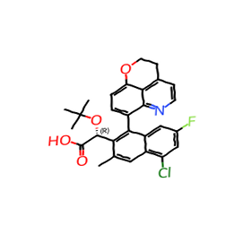 Cc1cc2c(Cl)cc(F)cc2c(-c2ccc3c4c(ccnc24)CCO3)c1[C@@H](OC(C)(C)C)C(=O)O